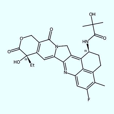 CC[C@@]1(O)C(=O)OCc2c1cc1n(c2=O)Cc2c-1nc1cc(F)c(C)c3c1c2[C@@H](NC(=O)C(C)(C)O)CC3